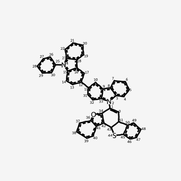 C1=C(n2c3ccccc3c3cc(-c4ccc5c(c4)c4ccccc4n5-c4ccccc4)ccc32)c2oc3ccccc3c2C2Sc3ccccc3C12